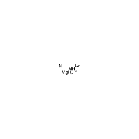 [AlH3].[La].[MgH2].[Ni]